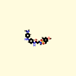 COc1cc(C)c(S(=O)(=O)N(C)CCC(=O)NC2CCC(NC3CCC(N(C)C)CC3)CC2)c(C)c1